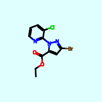 CCOC(=O)c1cc(Br)nn1-c1ncccc1Cl